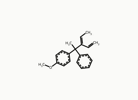 C=C/C(=C\C)C(C)(c1ccccc1)c1ccc(OC)cc1